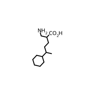 CC(CCC(CN)C(=O)O)C1CCCCC1